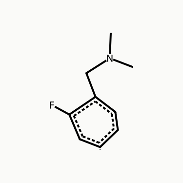 CN(C)Cc1cc[c]cc1F